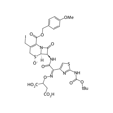 COc1ccc(COC(=O)C2=C(CI)C[S@@+]([O-])[C@@H]3[C@H](NC(=O)/C(=N\OC(CC(=O)O)C(=O)O)c4csc(NC(=O)OC(C)(C)C)n4)C(=O)N23)cc1